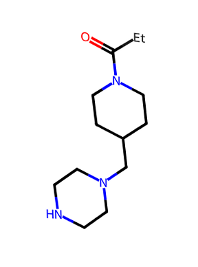 CCC(=O)N1CCC(CN2CCNCC2)CC1